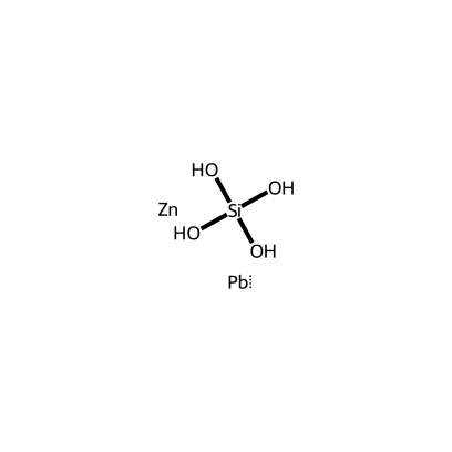 O[Si](O)(O)O.[Pb].[Zn]